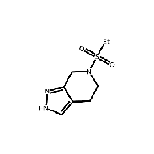 CCS(=O)(=O)N1CCc2c[nH]nc2C1